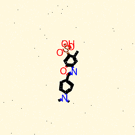 Cc1cc2nc(-c3ccc(N(C)C)cc3)oc2cc1S(=O)(=O)O